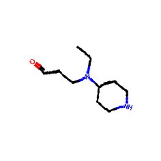 CCN(CCC=O)C1CCNCC1